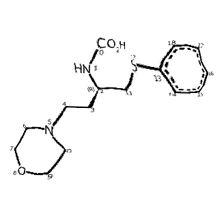 O=C(O)N[C@H](CCN1CCOCC1)CSc1ccccc1